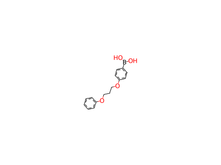 OB(O)c1ccc(OCCCOc2ccccc2)cc1